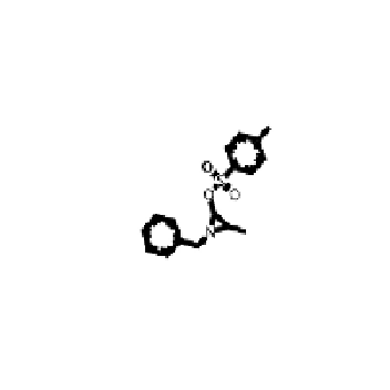 Cc1ccc(S(=O)(=O)OC2C(C)N2Cc2ccccc2)cc1